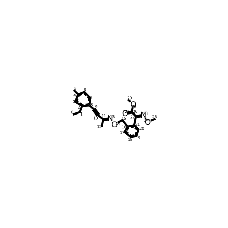 CCc1cc(C)ccc1C#C/C(C)=N/OCc1ccccc1/C(=N\OC)C(=O)OC